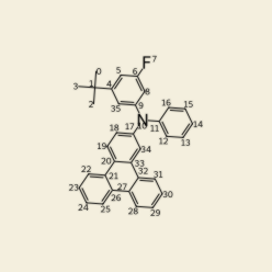 CC(C)(C)c1cc(F)cc(N(c2ccccc2)c2ccc3c4ccccc4c4ccccc4c3c2)c1